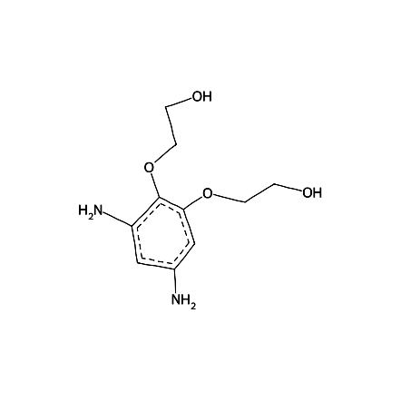 Nc1cc(N)c(OCCO)c(OCCO)c1